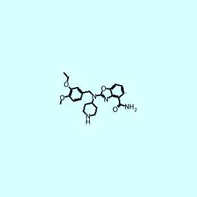 CCOc1cc(CN(c2nc3c(C(N)=O)[c]ccc3o2)C2CCNCC2)ccc1OC